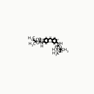 CCC(C)(C)OC(=O)Nc1ccc(Cc2ccc(NC(=O)OC(C)(C)CC)cc2)cc1